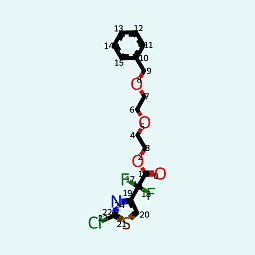 O=C(OCCOCCOCc1ccccc1)C(F)(F)c1csc(Cl)n1